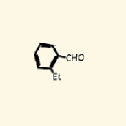 CCc1ccc[c]c1C=O